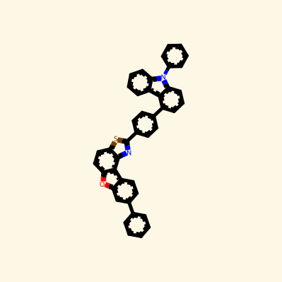 c1ccc(-c2ccc3c(c2)oc2ccc4sc(-c5ccc(-c6cccc7c6c6ccccc6n7-c6ccccc6)cc5)nc4c23)cc1